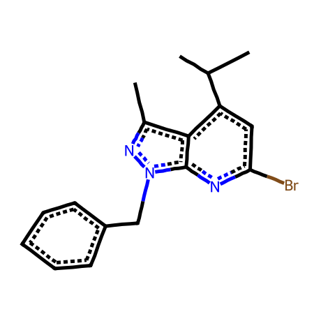 Cc1nn(Cc2ccccc2)c2nc(Br)cc(C(C)C)c12